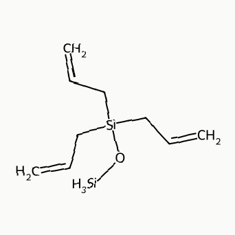 C=CC[Si](CC=C)(CC=C)O[SiH3]